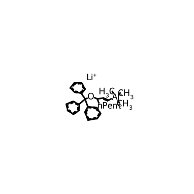 CCCCCC(/C=[CH]/[Al-]([CH3])([CH3])[CH3])OC(c1ccccc1)(c1ccccc1)c1ccccc1.[Li+]